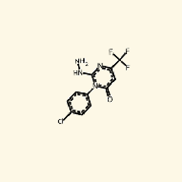 NNc1nc(C(F)(F)F)cc(=O)n1-c1ccc(Cl)cc1